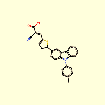 Cc1ccc(-n2c3ccccc3c3cc(C4CC=C(/C=C(\C#N)C(=O)O)S4)ccc32)cc1